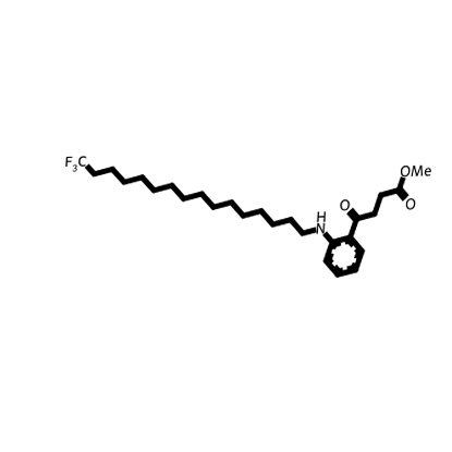 COC(=O)CCC(=O)c1ccccc1NCCCCCCCCCCCCCCCC(F)(F)F